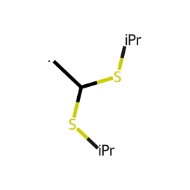 [CH2]C(SC(C)C)SC(C)C